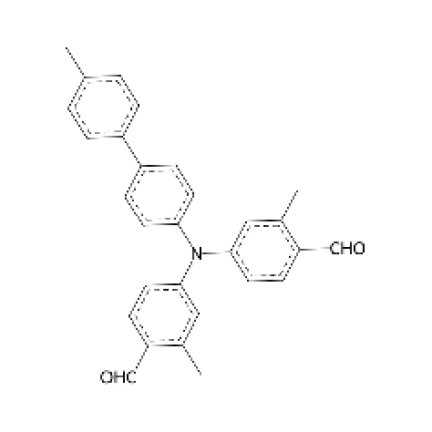 Cc1ccc(-c2ccc(N(c3ccc(C=O)c(C)c3)c3ccc(C=O)c(C)c3)cc2)cc1